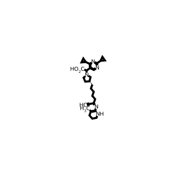 C#C/C(CCCCC[C@@H]1CCN(C(C(=O)O)c2cnc(C3CC3)nc2C2CC2)C1)=N\C1=C(C)CCCN1